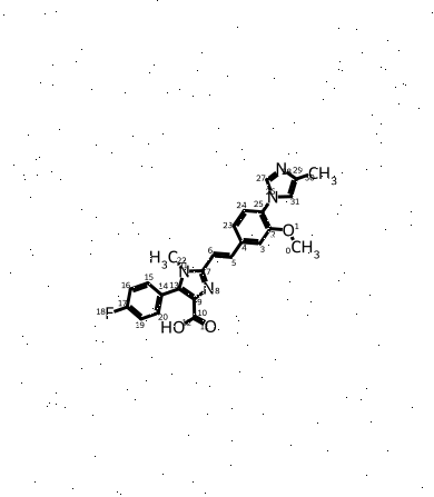 COc1cc(C=Cc2nc(C(=O)O)c(-c3ccc(F)cc3)n2C)ccc1-n1cnc(C)c1